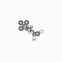 O=C(Cc1c[nH]c2ccc(Cl)cc12)C(=O)c1nnn(C(c2ccccc2)(c2ccccc2)c2ccccc2)n1